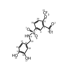 CCC(=O)c1cc(S(=O)(=O)NCc2ccc(O)c(O)c2)ccc1OC(F)(F)F